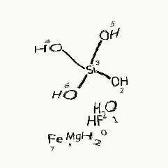 F.O.O[Si](O)(O)O.[Fe].[MgH2]